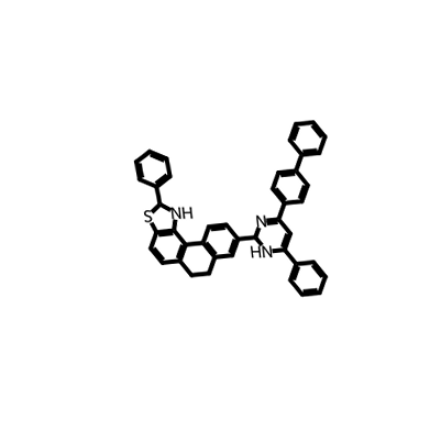 C1=C(c2ccccc2)NC(c2ccc3c(c2)CCc2ccc4c(c2-3)NC(c2ccccc2)S4)N=C1c1ccc(-c2ccccc2)cc1